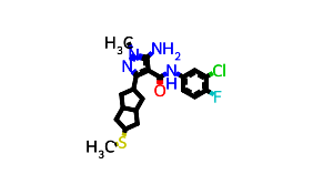 CSC1CC2CC(c3nn(C)c(N)c3C(=O)Nc3ccc(F)c(Cl)c3)CC2C1